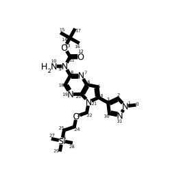 Cn1cc(-c2cc3nc(N(N)C(=O)OC(C)(C)C)cnc3n2COCC[Si](C)(C)C)cn1